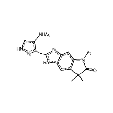 CCN1C(=O)C(C)(C)c2cc3[nH]c(-c4n[nH]cc4NC(C)=O)nc3cc21